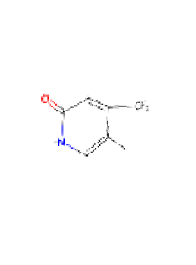 CC1=C[N]C(=O)[C]=C1C(F)(F)F